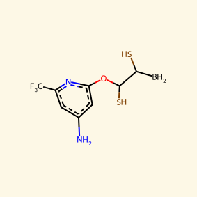 BC(S)C(S)Oc1cc(N)cc(C(F)(F)F)n1